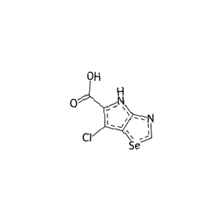 O=C(O)c1[nH]c2nc[se]c2c1Cl